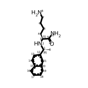 C[C@@H](N[C@@H](CCCCN)C(N)=O)c1ccc2ccccc2c1